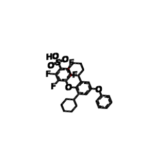 O=S(=O)(O)c1c(F)c(F)c(Oc2c(C3CCCCC3)cc(Oc3ccccc3)cc2C2CCCCC2)c(F)c1F